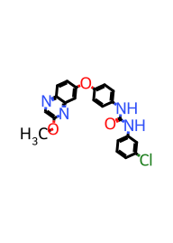 COc1cnc2ccc(Oc3ccc(NC(=O)Nc4cccc(Cl)c4)cc3)cc2n1